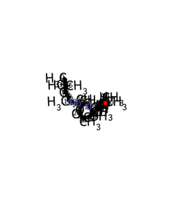 CC[C@H](O)[C@@H](C)[C@H]1O[C@@H]1C[C@H](C)/C=C/C=C(\C)[C@H]1OC(=O)C[C@H](C)CC[C@@](C)(O)[C@@H](OC(=O)N2C[C@H]3C[C@@H]2C[N+]3(C)C)/C=C/[C@@H]1C